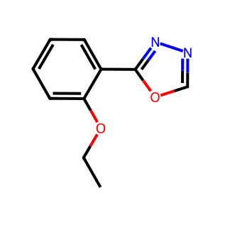 CCOc1ccccc1-c1nnco1